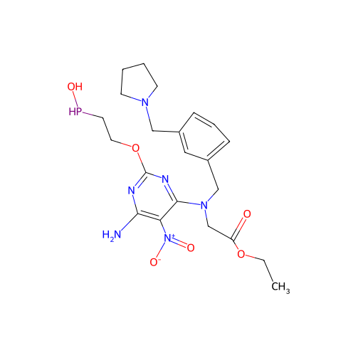 CCOC(=O)CN(Cc1cccc(CN2CCCC2)c1)c1nc(OCCPO)nc(N)c1[N+](=O)[O-]